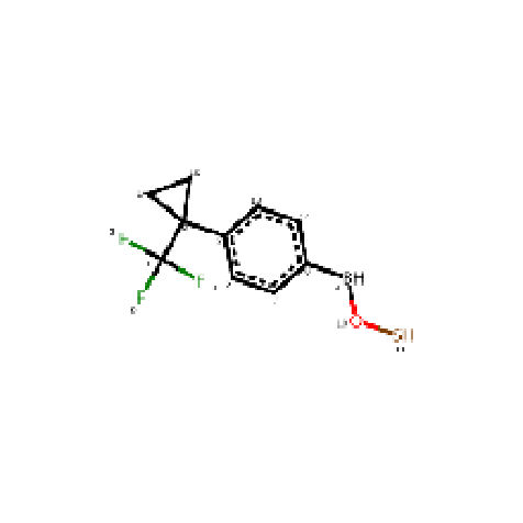 FC(F)(F)C1(c2ccc(BOS)cc2)CC1